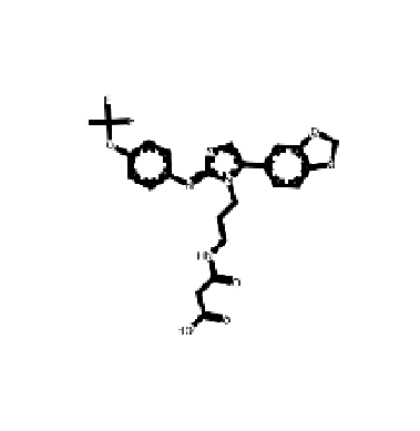 O=C(O)CC(=O)NCCCn1c(-c2ccc3c(c2)OCO3)csc1=Nc1ccc(OC(F)(F)F)cc1